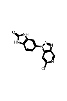 O=c1[nH]c2ccc(-n3nnc4cnc(Cl)cc43)cc2[nH]1